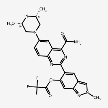 C[C@@H]1CN(c2ccc3nc(-c4cc5cn(C)nc5cc4OC(=O)C(F)(F)F)nc(C(N)=O)c3c2)C[C@H](C)N1